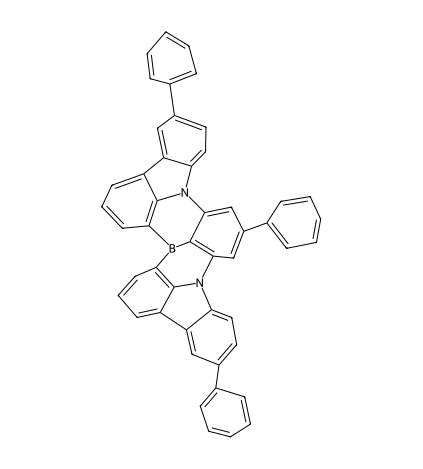 c1ccc(-c2cc3c4c(c2)-n2c5ccc(-c6ccccc6)cc5c5cccc(c52)B4c2cccc4c5cc(-c6ccccc6)ccc5n-3c24)cc1